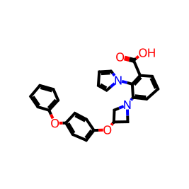 O=C(O)c1cccc(N2CC(Oc3ccc(Oc4ccccc4)cc3)C2)c1-n1cccc1